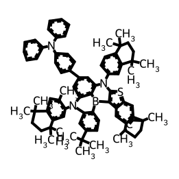 Cc1cc2c(cc1N1c3cc(C(C)(C)C)ccc3B3c4c1cc(-c1ccc(N(c5ccccc5)c5ccccc5)cc1)cc4N(c1ccc4c(c1)C(C)(C)CCC4(C)C)c1sc4cc5c(cc4c13)C1(C)CCC5(C)CC1)C(C)(C)CCC2(C)C